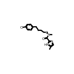 Cc1cnc(C(=O)N(C)OCCCCc2ccc(Cl)cc2)[nH]1